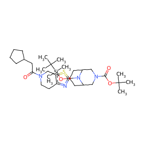 CC(C)(C)OC(=O)N1CC2CC(O[Si](C)(C)C(C)(C)C)CC(C1)N2c1nc2c(s1)CN(C(=O)CC1CCCC1)CC2